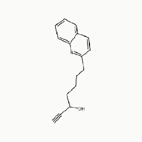 C#CC(O)CCCCc1ccc2ccccc2n1